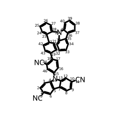 N#Cc1ccc2c(c1)c1ccc(C#N)cc1n2-c1ccc(-c2ccc(-c3ccccc3-n3c4ccccc4c4ccccc43)cc2)c(C#N)c1